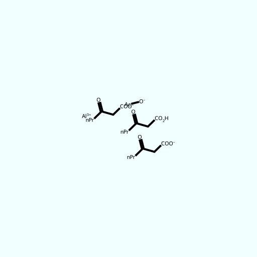 CC(=O)[O-].CCCC(=O)CC(=O)O.CCCC(=O)CC(=O)[O-].CCCC(=O)CC(=O)[O-].[Al+3]